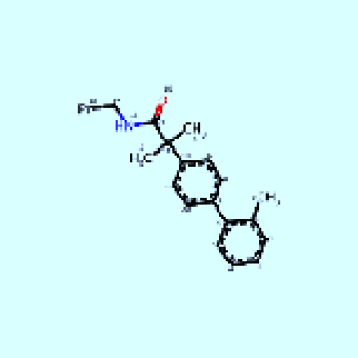 Cc1ccccc1-c1ccc(C(C)(C)C(=O)NCC(C)C)cc1